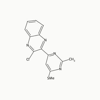 CSc1cc(-c2nc3ccccc3nc2Cl)nc(C)n1